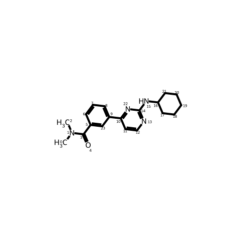 CN(C)C(=O)c1cccc(-c2ccnc(NC3CCCCC3)n2)c1